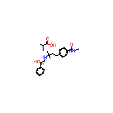 CC(C)C(=O)O.CNC(=O)c1ccc(CCC(C)(C)NC[C@H](O)c2ccccc2)cc1